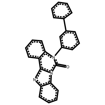 O=c1n(-c2cccc(-c3ccccc3)c2)c2ccccc2c2nc3ccccc3n12